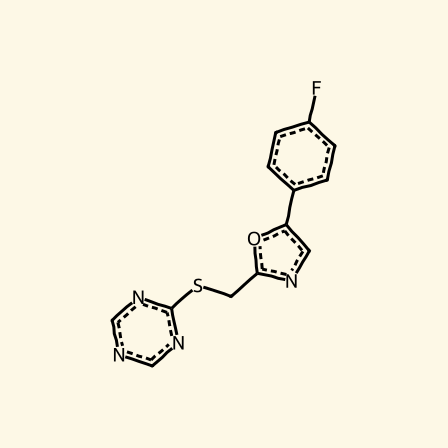 Fc1ccc(-c2cnc(CSc3ncncn3)o2)cc1